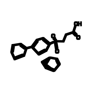 C1=CC2=CC=C1C2.O=C(O)CCS(=O)(=O)c1ccc(-c2ccccc2)cc1